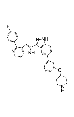 Fc1ccc(-c2nccc3[nH]c(-c4n[nH]c5ccc(-c6cncc(OC7CCNCC7)c6)nc45)cc23)cc1